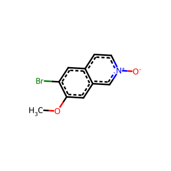 COc1cc2c[n+]([O-])ccc2cc1Br